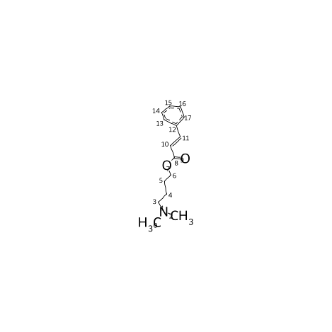 CN(C)CCCCOC(=O)C=Cc1ccccc1